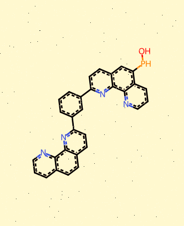 OPc1cc2ccc(-c3cccc(-c4ccc5ccc6cccnc6c5n4)c3)nc2c2ncccc12